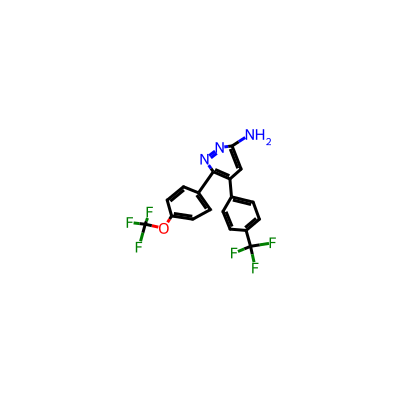 Nc1cc(-c2ccc(C(F)(F)F)cc2)c(-c2ccc(OC(F)(F)F)cc2)nn1